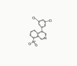 O=[N+]([O-])c1cccc2c(-c3cc(Cl)cc(Cl)c3)cncc12